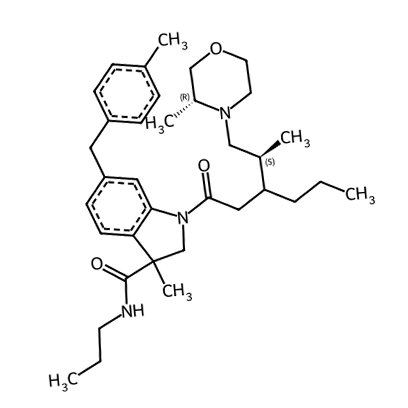 CCCNC(=O)C1(C)CN(C(=O)CC(CCC)[C@H](C)CN2CCOC[C@H]2C)c2cc(Cc3ccc(C)cc3)ccc21